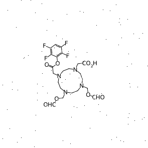 O=COCN1CCN(COC=O)CCN(CC(=O)Oc2c(F)c(F)cc(F)c2F)CCN(CC(=O)O)CC1